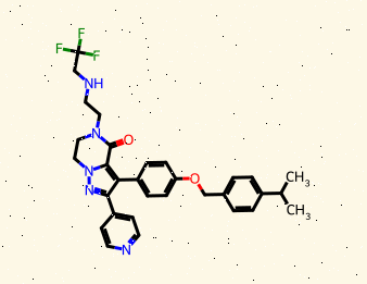 CC(C)c1ccc(COc2ccc(-c3c(-c4ccncc4)nn4c3C(=O)N(CCNCC(F)(F)F)CC4)cc2)cc1